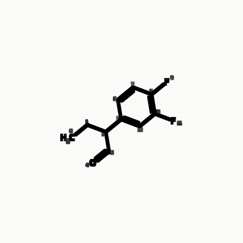 CCC([C]=O)c1ccc(F)c(F)c1